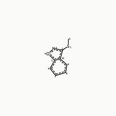 CSc1noc2ccccc12